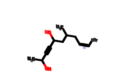 CCC/C=C\CC(C)CC(O)C#CC(C)O